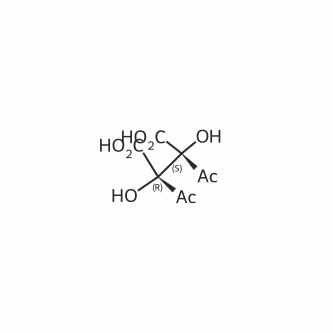 CC(=O)[C@@](O)(C(=O)O)[C@](O)(C(C)=O)C(=O)O